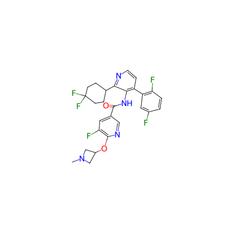 CN1CC(Oc2ncc(C(=O)Nc3c(-c4cc(F)ccc4F)ccnc3C3CCC(F)(F)CC3)cc2F)C1